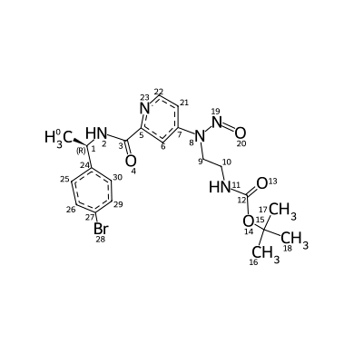 C[C@@H](NC(=O)c1cc(N(CCNC(=O)OC(C)(C)C)N=O)ccn1)c1ccc(Br)cc1